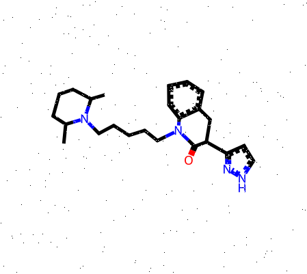 CC1CCCC(C)N1CCCCCN1C(=O)C(c2cc[nH]n2)Cc2ccccc21